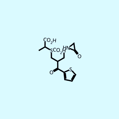 CC(SCC(CC(=O)O)C(=O)c1cccs1)C(=O)O.O=C1CN1